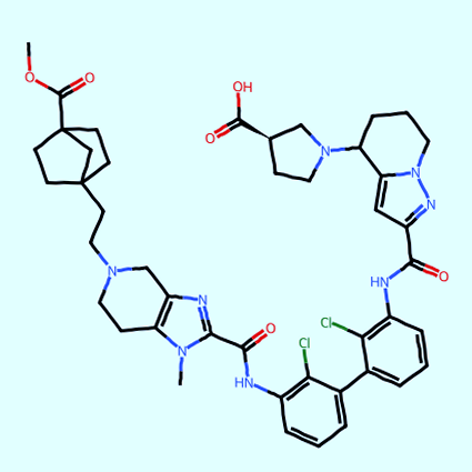 COC(=O)C12CCC(CCN3CCc4c(nc(C(=O)Nc5cccc(-c6cccc(NC(=O)c7cc8n(n7)CCCC8N7CC[C@@H](C(=O)O)C7)c6Cl)c5Cl)n4C)C3)(CC1)C2